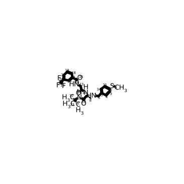 CSc1ccc(CNC[C@H](NC(=O)CNC(=O)c2cccc(C(F)(F)F)c2)C(=O)NC(C)(C)C)cc1